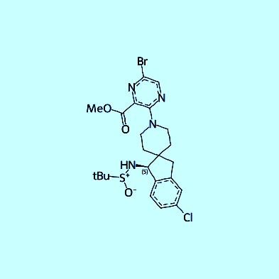 COC(=O)c1nc(Br)cnc1N1CCC2(CC1)Cc1cc(Cl)ccc1[C@H]2N[S+]([O-])C(C)(C)C